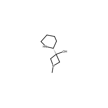 CN1CC(O)([C@H]2CCCCN2)C1